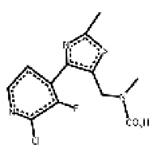 Cc1nc(-c2ccnc(Cl)c2F)c(CN(C)C(=O)O)s1